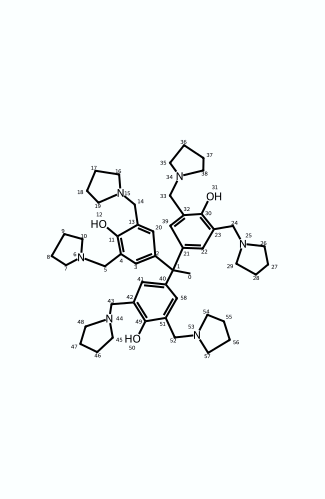 CC(c1cc(CN2CCCC2)c(O)c(CN2CCCC2)c1)(c1cc(CN2CCCC2)c(O)c(CN2CCCC2)c1)c1cc(CN2CCCC2)c(O)c(CN2CCCC2)c1